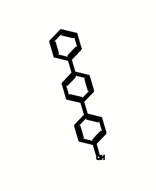 Oc1ccc(-c2ccc(-c3ccccc3)cc2)cc1